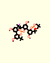 COc1cc(-c2cc(OC)cc(C(C)(C)C)c2Op2oc3c(C(C)(C)C)cc(OC)cc3c3cc(OC)cc(C(C)(C)I)c3o2)c(OP2OCC(C)(C)CO2)c(C(C)(C)C)c1